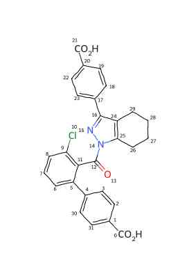 O=C(O)c1ccc(-c2cccc(Cl)c2C(=O)n2nc(-c3ccc(C(=O)O)cc3)c3c2CCCC3)cc1